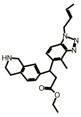 CC=CCn1nnc2c(C)c(C(CC(=O)OCC)c3ccc4c(c3)CNCC4)ccc21